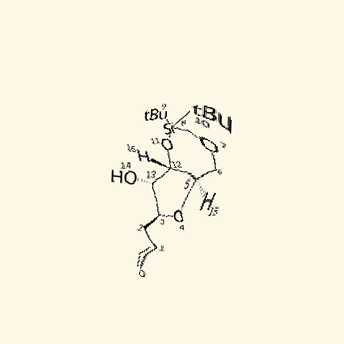 C=CC[C@@H]1O[C@@H]2CO[Si](C(C)(C)C)(C(C)(C)C)O[C@H]2[C@H]1O